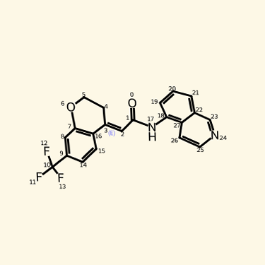 O=C(/C=C1\CCOc2cc(C(F)(F)F)ccc21)Nc1cccc2cnccc12